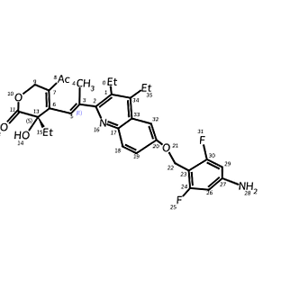 CCc1c(/C(C)=C/C2=C(C(C)=O)COC(=O)[C@]2(O)CC)nc2ccc(OCc3c(F)cc(N)cc3F)cc2c1CC